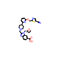 N#Cc1cnc(COc2cccc(C3CCN(Cc4nc5ccc(C(=O)O)cc5n4C[C@@H]4CCO4)CC3)n2)s1